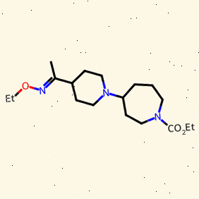 CCON=C(C)C1CCN(C2CCCN(C(=O)OCC)CC2)CC1